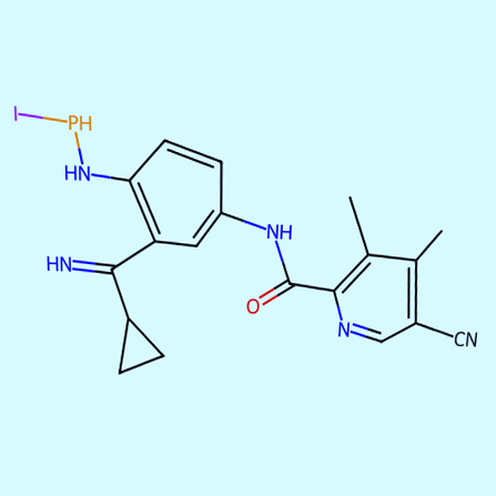 Cc1c(C#N)cnc(C(=O)Nc2ccc(NPI)c(C(=N)C3CC3)c2)c1C